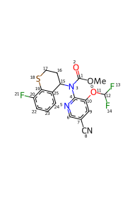 COC(=O)N(c1ncc(C#N)cc1OC(F)F)C1CCSc2c(F)cccc21